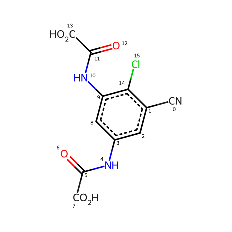 N#Cc1cc(NC(=O)C(=O)O)cc(NC(=O)C(=O)O)c1Cl